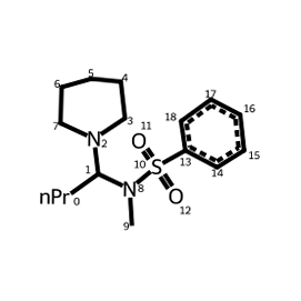 CCCC(N1CCCCC1)N(C)S(=O)(=O)c1ccccc1